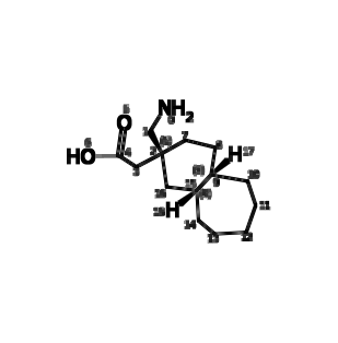 NC[C@@]1(CC(=O)O)CC[C@@H]2CCCCC[C@@H]2C1